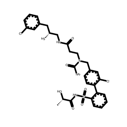 CCCC(=O)N(CCC(=O)NC[C@H](S)Cc1cccc(Cl)c1)Cc1ccc(-c2ccccc2S(=O)(=O)NC(=O)[C@H](C)O)c(Cl)c1